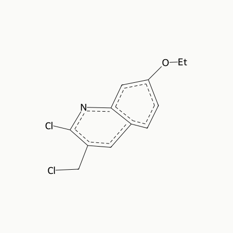 CCOc1ccc2cc(CCl)c(Cl)nc2c1